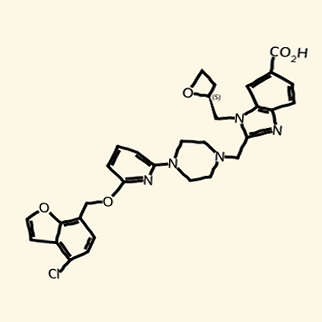 O=C(O)c1ccc2nc(CN3CCN(c4cccc(OCc5ccc(Cl)c6ccoc56)n4)CC3)n(C[C@@H]3CCO3)c2c1